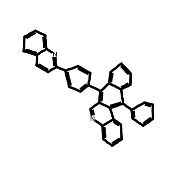 c1ccc(-c2c3ccccc3c(-c3ccc(-c4ccc5ccccc5n4)cc3)c3cnc4ccccc4c23)cc1